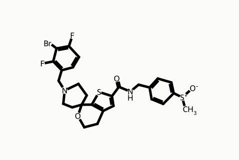 C[S+]([O-])c1ccc(CNC(=O)c2cc3c(s2)C2(CCN(Cc4ccc(F)c(Br)c4F)CC2)OCC3)cc1